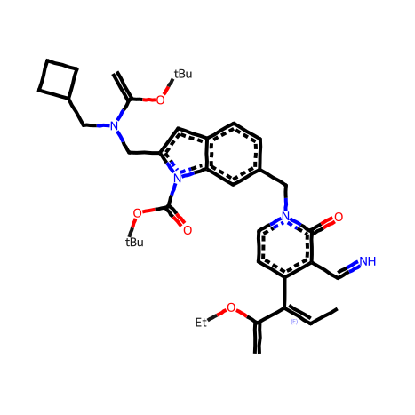 C=C(OCC)/C(=C/C)c1ccn(Cc2ccc3cc(CN(CC4CCC4)C(=C)OC(C)(C)C)n(C(=O)OC(C)(C)C)c3c2)c(=O)c1C=N